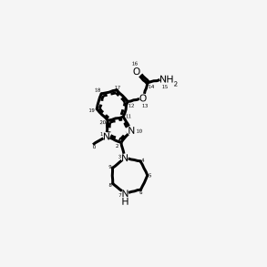 Cn1c(N2CCCNCC2)nc2c(OC(N)=O)cccc21